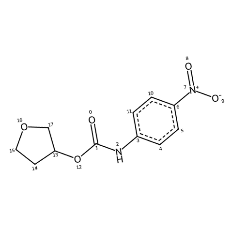 O=C(Nc1ccc([N+](=O)[O-])cc1)OC1CCOC1